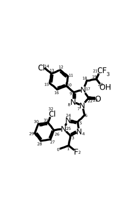 CC(F)c1nc(Cn2nc(-c3ccc(Cl)cc3)n(CC(O)C(F)(F)F)c2=O)nn1-c1ccccc1Cl